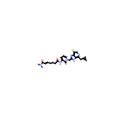 CN(C)C(=O)/C=C/CCCC(=O)Nc1cccn(Cc2nc3c(F)cnc(CC4CC4)c3[nH]2)c1=O